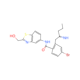 CCCC(=N)Cc1cc(Br)ccc1C(=O)Nc1ccc2sc(CO)nc2c1